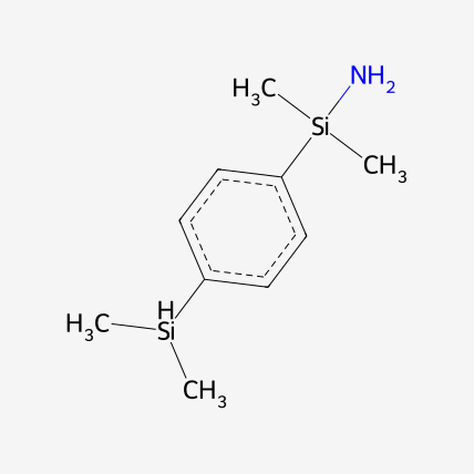 C[SiH](C)c1ccc([Si](C)(C)N)cc1